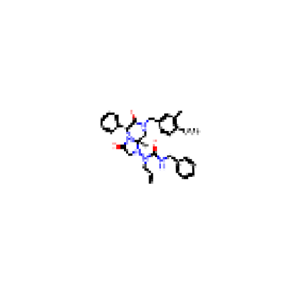 C=CCN(C(=O)NCc1ccccc1)N1CC(=O)N2[C@@H](c3ccccc3)C(=O)N(Cc3ccc(OC)c(C)c3)C[C@@H]21